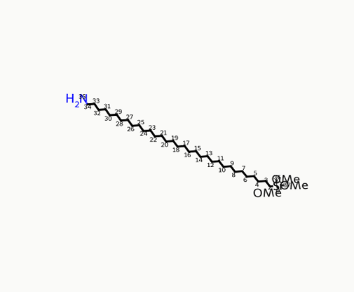 CO[Si](CCCCCCCCCCCCCCCCCCCCCCCCCCCCCCCCCN)(OC)OC